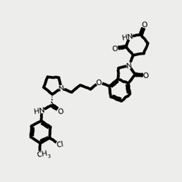 Cc1ccc(NC(=O)[C@@H]2CCCN2CCCOc2cccc3c2CN(C2CCC(=O)NC2=O)C3=O)cc1Cl